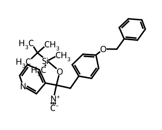 [C-]#[N+]C(Cc1ccc(OCc2ccccc2)cc1)(O[Si](C)(C)C(C)(C)C)c1cccnc1